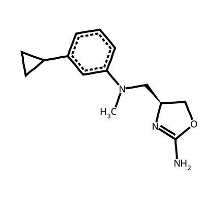 CN(C[C@H]1COC(N)=N1)c1cccc(C2CC2)c1